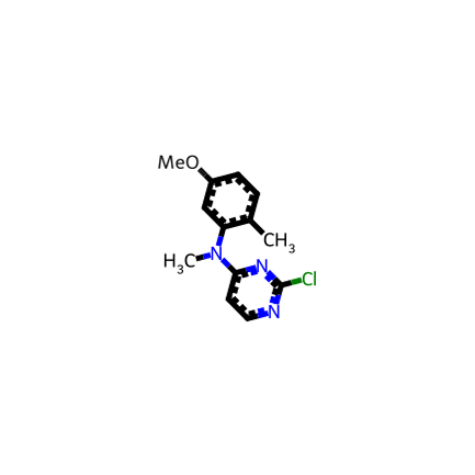 COc1ccc(C)c(N(C)c2ccnc(Cl)n2)c1